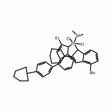 CCC1=Cc2c(-c3ccc(C4CCCCC4)cc3)cccc2[CH]1[Zr]([Cl])([Cl])([CH]1C(C2CCCCC2)=Cc2c(C(C)CC)cccc21)[SiH](C)C